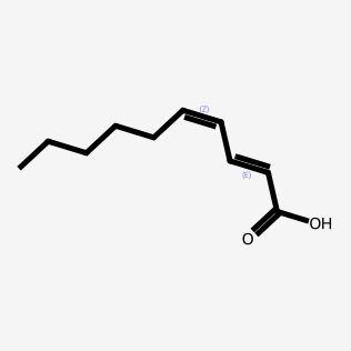 CCCCC/C=C\C=C\C(=O)O